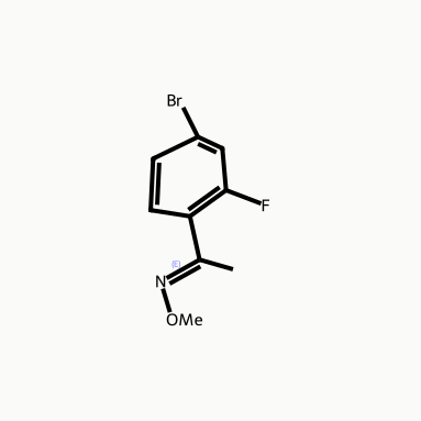 CO/N=C(\C)c1ccc(Br)cc1F